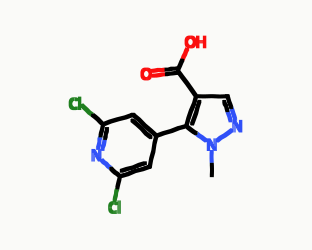 Cn1ncc(C(=O)O)c1-c1cc(Cl)nc(Cl)c1